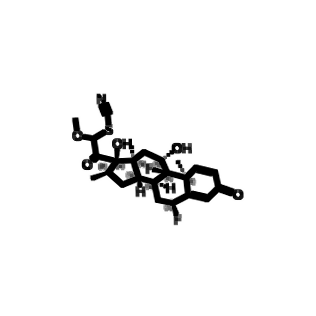 COC(SC#N)C(=O)[C@@]1(O)[C@H](C)C[C@H]2[C@@H]3C[C@H](F)C4=CC(=O)C=C[C@]4(C)[C@@]3(F)[C@@H](O)C[C@@]21C